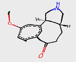 COc1ccc2c(c1)[C@H]1CNC[C@@H]1CCC2=O